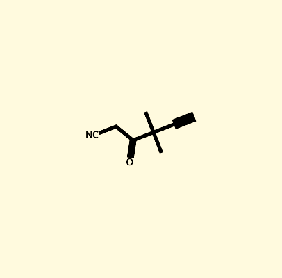 C#CC(C)(C)C(=O)CC#N